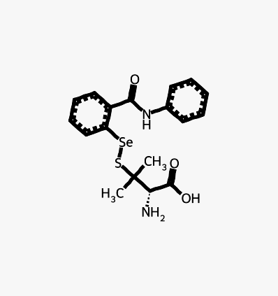 CC(C)(S[Se]c1ccccc1C(=O)Nc1ccccc1)[C@@H](N)C(=O)O